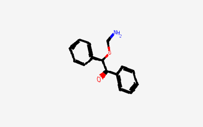 NCOC(C(=O)c1ccccc1)c1ccccc1